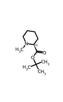 CN1CCCC[C@H]1C(=O)OC(C)(C)C